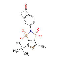 CCCC(C)(C)c1sc(C(C)(C)C)c2c1S(=O)(=O)N(c1ccc3c(c1)CC3=O)S2(=O)=O